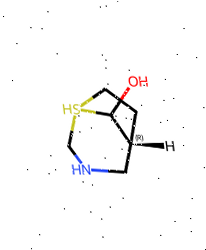 OC1[C@@H]2CC[SH]1CNC2